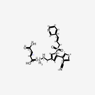 CNCc1cc(-c2cscc2C#N)n(S(=O)(=O)CC=Cc2cccnc2)c1.O=C(O)/C=C/C(=O)O